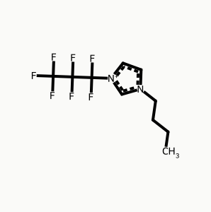 CCCCn1cc[n+](C(F)(F)C(F)(F)C(F)(F)F)c1